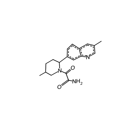 Cc1cnc2cc(C3CCC(C)CN3C(=O)C(N)=O)ccc2c1